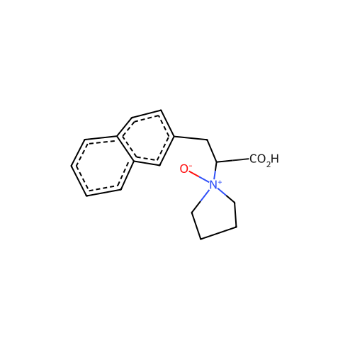 O=C(O)C(Cc1ccc2ccccc2c1)[N+]1([O-])CCCC1